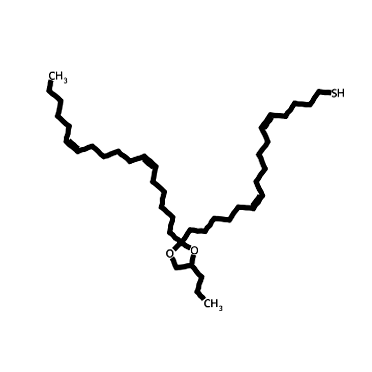 CCCCC/C=C\CCCC/C=C\CCCCCC1(CCCCC/C=C\CCCC/C=C\CCCCS)OCC(CCC)O1